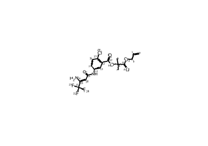 C=CCOC(=O)C(C)(C)OC(=O)c1cc(NC(=O)C=C(N)C(F)(F)F)ccc1Cl